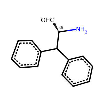 N[C@H](C=O)C(c1ccccc1)c1ccccc1